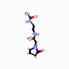 CCC(=O)NCCNC(=O)CN1CCCC1=O